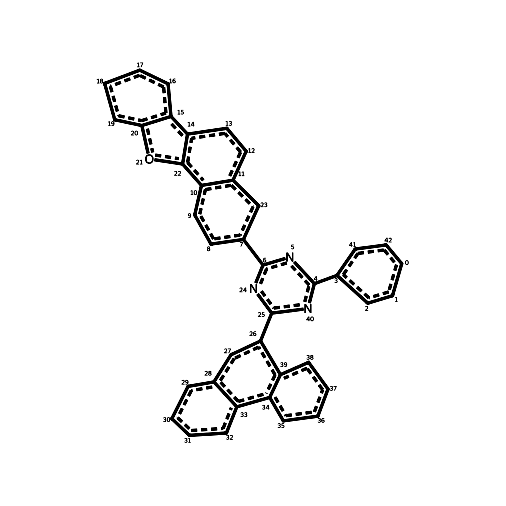 c1ccc(-c2nc(-c3ccc4c(ccc5c6ccccc6oc45)c3)nc(-c3cc4ccccc4c4ccccc34)n2)cc1